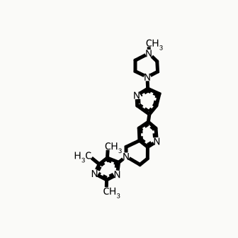 Cc1nc(C)c(C)c(N2CCc3ncc(-c4ccc(N5CCN(C)CC5)nc4)cc3C2)n1